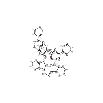 c1ccc(-c2ccc3oc4c(-n5c6ccccc6c6ccc7c8ccccc8n(-c8nc(-c9ccccc9)nc(-c9ccccc9)n8)c7c65)cccc4c3c2)cc1